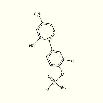 N#Cc1cc([N+](=O)[O-])ccc1-c1ccc(OS(N)(=O)=O)c(Cl)c1